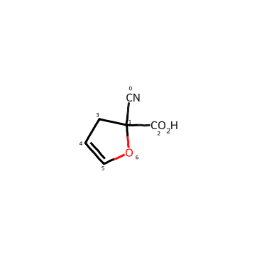 N#CC1(C(=O)O)CC=CO1